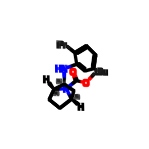 CC(C)c1ccccc1N[C@H]1C[C@@H]2CC[C@H]1N2C(=O)OC(C)(C)C